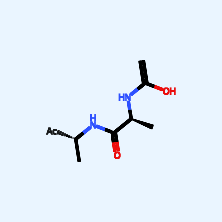 C=C(O)N[C@@H](C)C(=O)N[C@H](C)C(C)=O